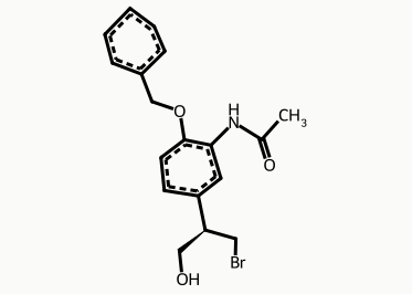 CC(=O)Nc1cc([C@H](CO)CBr)ccc1OCc1ccccc1